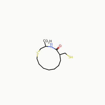 O=C1NC(C(=O)O)CSCCCCCCCC1CS